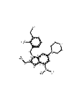 Cc1c(CF)cccc1Cn1c(CO)nc2c(B(O)O)cc(N3CCOCC3)cc21